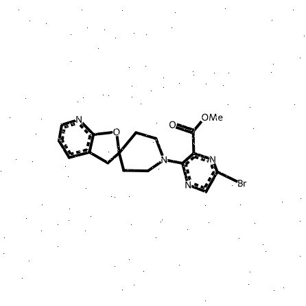 COC(=O)c1nc(Br)cnc1N1CCC2(CC1)Cc1cccnc1O2